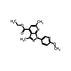 CCOC(=O)c1cc(C)nc2c1c(C)nn2-c1ccc(OC)nc1